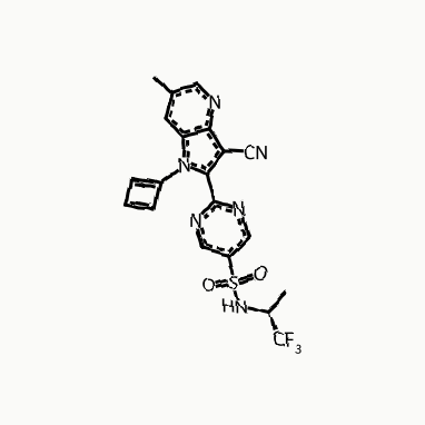 Cc1cnc2c(C#N)c(-c3ncc(S(=O)(=O)N[C@@H](C)C(F)(F)F)cn3)n(C3=CC=C3)c2c1